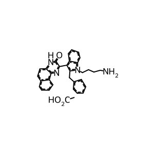 CC(=O)O.NCCCCn1c(Cc2ccccc2)c(-c2nc3c(ccc4ccccc43)[nH]c2=O)c2ccccc21